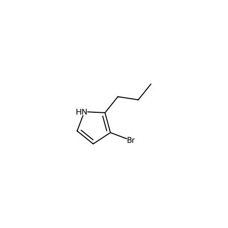 CCCc1[nH]ccc1Br